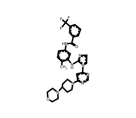 Cc1ccc(NC(=O)c2cccc(C(F)(F)F)c2)cc1Nc1nccn1-c1cc(N2CCC(N3CCOCC3)CC2)ncn1